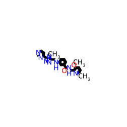 COc1ccc(C)nc1CNC(=O)c1cccc(NCc2nnc(-c3ccncn3)n2C)c1